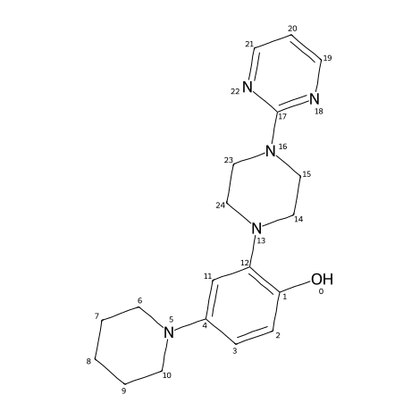 Oc1ccc(N2CCCCC2)cc1N1CCN(c2ncccn2)CC1